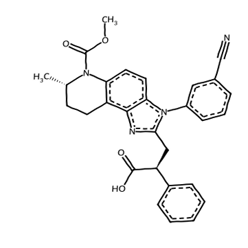 COC(=O)N1c2ccc3c(nc(C[C@H](C(=O)O)c4ccccc4)n3-c3cccc(C#N)c3)c2CC[C@@H]1C